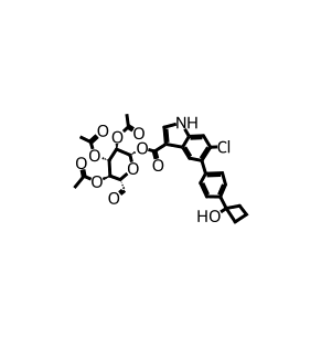 CC(=O)O[C@@H]1[C@@H](OC(C)=O)[C@H](OC(=O)c2c[nH]c3cc(Cl)c(-c4ccc(C5(O)CCC5)cc4)cc23)O[C@H](C=O)[C@H]1OC(C)=O